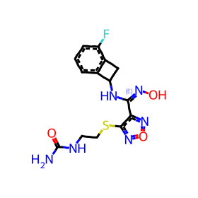 NC(=O)NCCSc1nonc1/C(=N\O)NC1Cc2c(F)cccc21